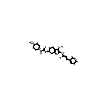 N#Cc1c(NC(=O)/C=C/c2cccnc2)sc2c1CCC(OC(=O)N[C@H]1CC[C@H](O)CC1)C2